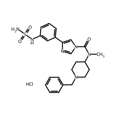 CN(C(=O)n1cnc(-c2cccc(NS(N)(=O)=O)c2)c1)C1CCN(Cc2ccccc2)CC1.Cl